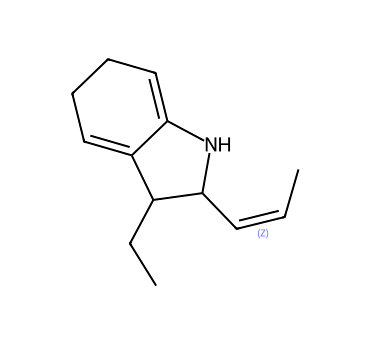 C/C=C\C1NC2=CCCC=C2C1CC